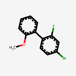 COc1ccccc1-c1ccc(Br)cc1F